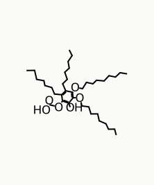 CCCCCCCCCOc1c(O)c(OC(=O)O)c(CCCCCCC)c(CCCCCCC)c1OCCCCCCCCC